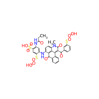 CCC(=O)Nc1cc(Nc2ccc3c4c2C(=O)c2ccccc2-c4c(C(=O)c2cccc(SOOO)c2)c(=O)n3C)c(SOOO)cc1S(=O)(=O)O